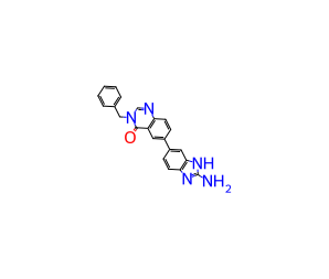 Nc1nc2ccc(-c3ccc4ncn(Cc5ccccc5)c(=O)c4c3)cc2[nH]1